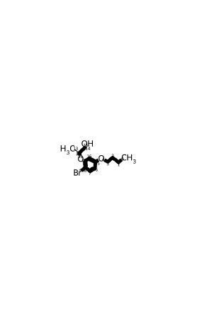 CCCCOc1ccc(Br)c(O[C@H](C)CO)c1